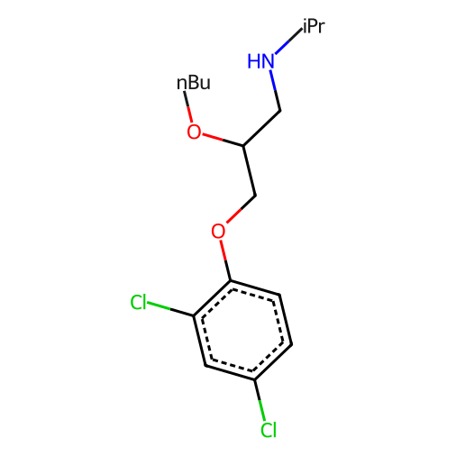 CCCCOC(CNC(C)C)COc1ccc(Cl)cc1Cl